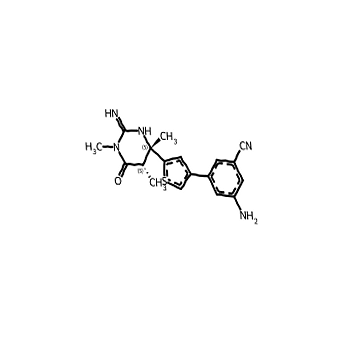 C[C@@H]1C(=O)N(C)C(=N)N[C@]1(C)c1cc(-c2cc(N)cc(C#N)c2)cs1